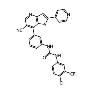 N#Cc1cnc2cc(-c3ccncc3)sc2c1-c1cccc(NC(=O)Nc2ccc(Cl)c(C(F)(F)F)c2)c1